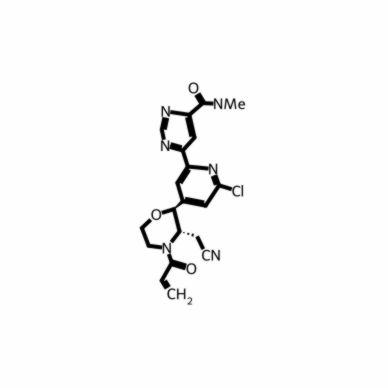 C=CC(=O)N1CCO[C@@H](c2cc(Cl)nc(-c3cc(C(=O)NC)ncn3)c2)[C@@H]1CC#N